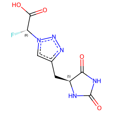 O=C1NC(=O)[C@H](Cc2cn([C@H](F)C(=O)O)nn2)N1